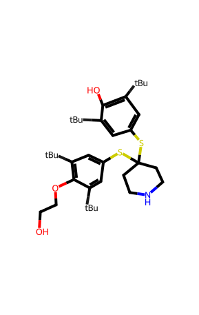 CC(C)(C)c1cc(SC2(Sc3cc(C(C)(C)C)c(OCCO)c(C(C)(C)C)c3)CCNCC2)cc(C(C)(C)C)c1O